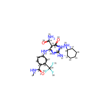 CNC(=O)c1ccc(Nc2nc(N[C@H]3CCCC[C@@H]3N)[nH]c(=O)c2C(N)=O)cc1C(F)(F)F